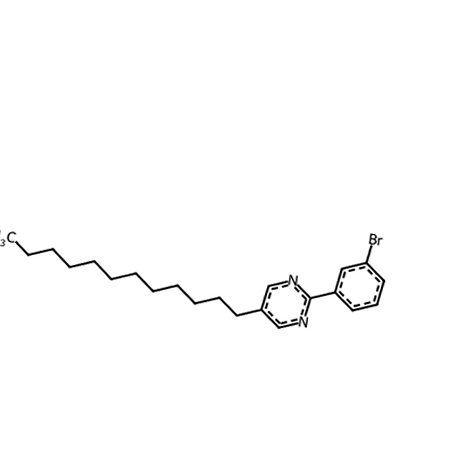 CCCCCCCCCCCCc1cnc(-c2cccc(Br)c2)nc1